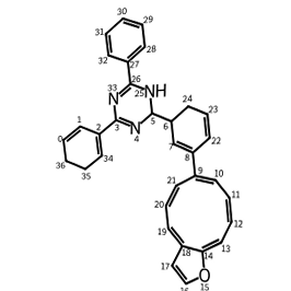 C1=CC(C2=NC(C3C=C(c4ccccc5occc5ccc4)C=CC3)NC(c3ccccc3)=N2)=CCC1